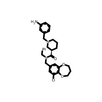 CC(C)CN(Cc1cc(Cl)c2c(c1)OCCCO2)C(=O)[C@@H]1CCCN(Cc2cccc(N)c2)C1